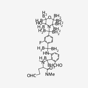 BC(B)(Nc1cccc(C=O)c1C(B)(B)N(C)C(CCC=O)C(=O)NC)c1ccc(C(B)(B)N2C(B)(B)C(B)(B)OC(B)(B)C2(B)O)cc1F